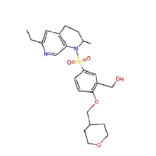 CCc1cc2c(cn1)N(S(=O)(=O)c1ccc(OCC3CCOCC3)c(CO)c1)C(C)CC2